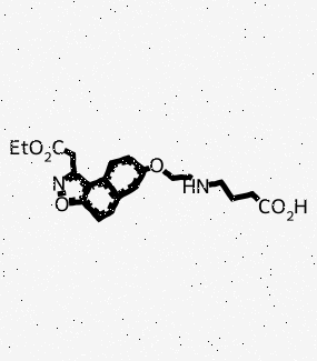 CCOC(=O)Cc1noc2ccc3cc(OCCNCCCC(=O)O)ccc3c12